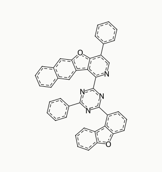 c1ccc(-c2nc(-c3cccc4oc5ccccc5c34)nc(-c3ncc(-c4ccccc4)c4oc5cc6ccccc6cc5c34)n2)cc1